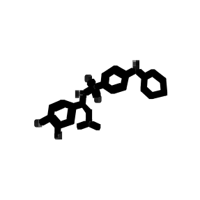 CN(C)C[C@H](NS(=O)(=O)c1ccc(NC2CCCCC2)cc1)c1ccc(Cl)c(Cl)c1